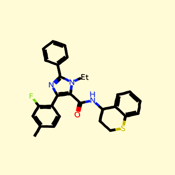 CCn1c(-c2ccccc2)nc(-c2ccc(C)cc2F)c1C(=O)NC1CCSc2ccccc21